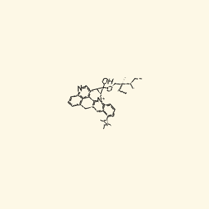 CCC(C)[C@@](C)(CC)COC1(O)C2c3cnc4cccc5c4c3-c3c(cc4c([Si](C)(C)C)cccc4[n+]3C21)C5